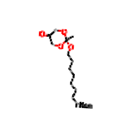 CCCCCCCCCCCCCCCCOC1(C)OCC(=O)CO1